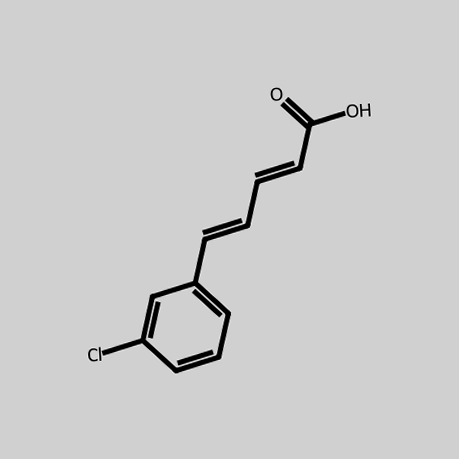 O=C(O)/C=C/C=C/c1cccc(Cl)c1